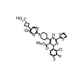 COC(=O)C1=C(C2CCN(c3ncc([C@]4(O)C[C@@H](C(=O)O)C4)cn3)CC2)NC(c2nccs2)=NC1c1ccc(F)c(F)c1Cl